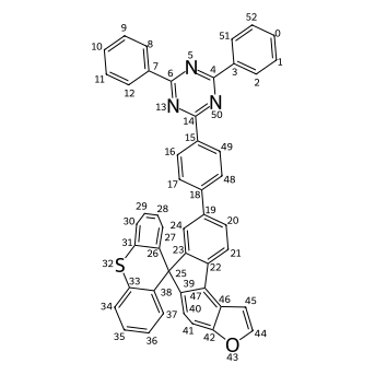 c1ccc(-c2nc(-c3ccccc3)nc(-c3ccc(-c4ccc5c(c4)C4(c6ccccc6Sc6ccccc64)c4ccc6occc6c4-5)cc3)n2)cc1